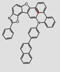 c1ccc(-c2nc3ccc4oc5ccc(N(c6ccc(-c7ccc8ccccc8c7)cc6)c6ccccc6-c6ccccc6)cc5c4c3o2)cc1